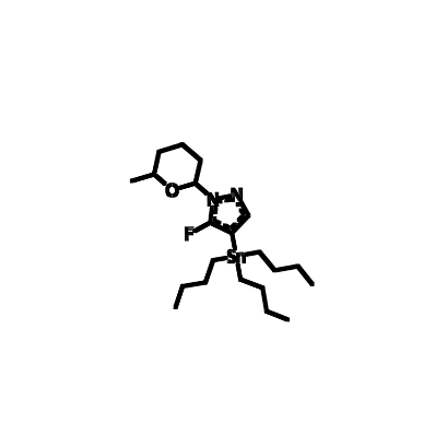 CCC[CH2][Sn]([CH2]CCC)([CH2]CCC)[c]1cnn(C2CCCC(C)O2)c1F